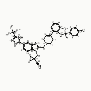 CC1(c2ccc(Cl)cc2)Oc2cccc(C3=CCN(Cc4nc5cc(-c6nnc(C(F)(F)F)[nH]6)ccc5n4CC4(C#N)CC4)CC3)c2O1